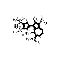 CC1=[C]([Hf]([Cl])[Cl])C2=CC=C[C](=[Ge]([CH3])[CH3])C(C)C2=C1C1=CC([Si](C)(C)C)=C([Si](C)(C)C)C1